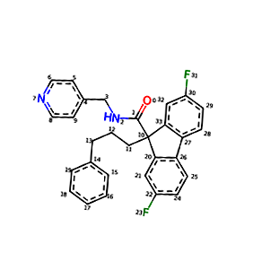 O=C(NCc1ccncc1)C1(CCCc2ccccc2)c2cc(F)ccc2-c2ccc(F)cc21